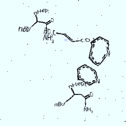 CCCCCCCC(CCCC)C(N)=O.CCCCCCCC(CCCC)C(N)=O.O=C(O)/C=C/C(=O)O.c1ccncc1.c1ccncc1